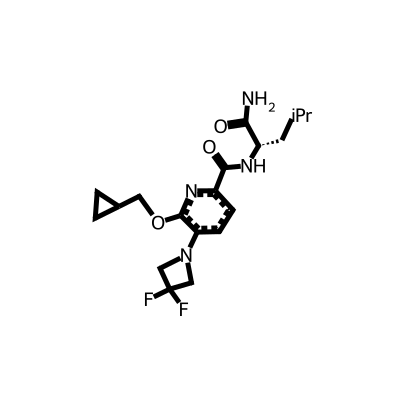 CC(C)C[C@H](NC(=O)c1ccc(N2CC(F)(F)C2)c(OCC2CC2)n1)C(N)=O